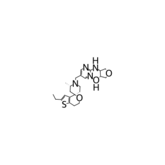 CCc1cc2c(s1)CCO[C@@]21CCN(Cc2cnc(N[C@H]3COC[C@@H]3O)nc2)[C@@H](C)C1